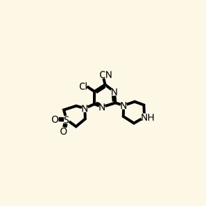 N#Cc1nc(N2CCNCC2)nc(N2CCS(=O)(=O)CC2)c1Cl